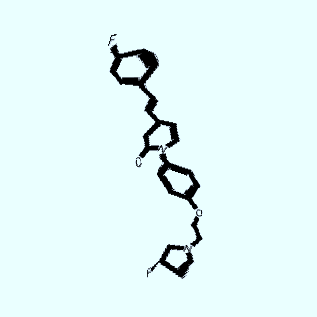 O=c1cc(/C=C/c2ccc(F)cc2)ccn1-c1ccc(OCCN2CC[C@@H](F)C2)cc1